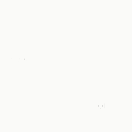 CCCCCCCCCCc1ccccc1CC(C)c1ccccc1O